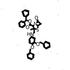 CC1(CNc2ccc(OCc3ccccc3)c(OCc3ccccc3)c2)SC2CC(=O)N2C1C(=O)OC(c1ccccc1)c1ccccc1